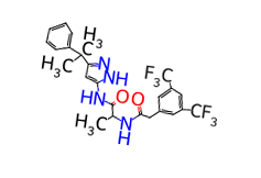 CC(NC(=O)Cc1cc(C(F)(F)F)cc(C(F)(F)F)c1)C(=O)Nc1cc(C(C)(C)c2ccccc2)n[nH]1